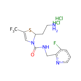 Cl.Cl.NCCC1SC(C(F)(F)F)=CN1C(=O)NCc1ncccc1F